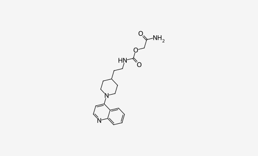 NC(=O)COC(=O)NCCC1CCN(c2ccnc3ccccc23)CC1